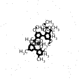 COC(=O)Oc1c(-c2cc(OC)cc(C(C)(C)C)c2Op2oc3c(C)cc(C)cc3c3cc(C)cc(C)c3o2)cc(OC)cc1C(C)(C)C